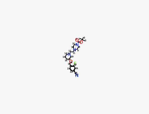 CC(C)(C)OC(=O)N1CCN(CCN2CCCC(OCc3ccc(C#N)cc3F)C2)CC1